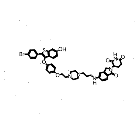 O=C1CCC(N2Cc3cc(NCCCN4CCN(CCOc5ccc(Oc6c(-c7ccc(Br)cc7)sc7cc(O)ccc67)cc5)CC4)ccc3C2=O)C(=O)N1